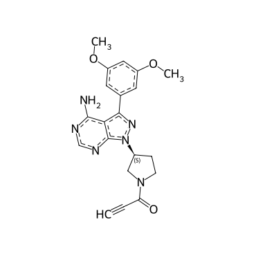 C#CC(=O)N1CC[C@H](n2nc(-c3cc(OC)cc(OC)c3)c3c(N)ncnc32)C1